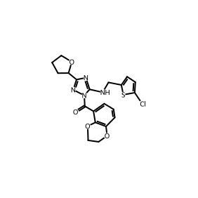 O=C(c1cccc2c1OCCO2)n1nc(C2CCCO2)nc1NCc1ccc(Cl)s1